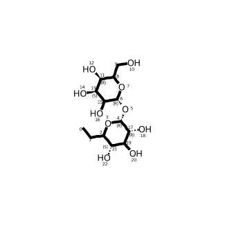 CCC1O[C@H](O[C@H]2OC(CO)[C@H](O)[C@H](O)C2O)[C@H](O)C(O)[C@@H]1O